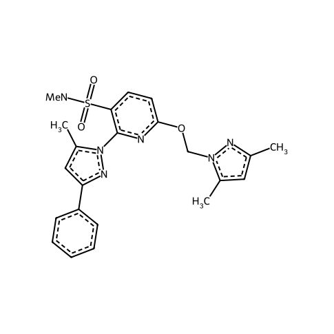 CNS(=O)(=O)c1ccc(OCn2nc(C)cc2C)nc1-n1nc(-c2ccccc2)cc1C